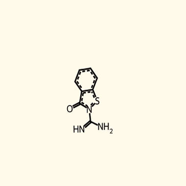 N=C(N)n1sc2ccccc2c1=O